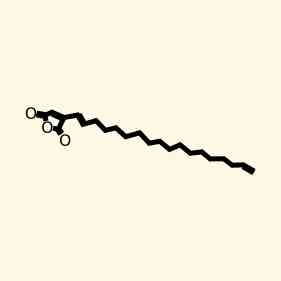 C=CCCCCCCCCCCCCCCC=CC1=CC(=O)OC1=O